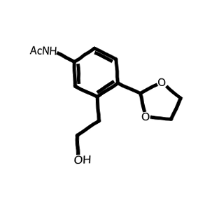 CC(=O)Nc1ccc(C2OCCO2)c(CCO)c1